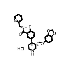 Cl.O=C(NCc1ccccn1)c1cc([C@@H]2CCNC[C@H]2COc2ccc3c(c2)OCO3)ccc1F